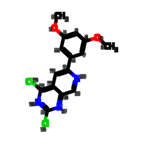 COc1cc(OC)cc(-c2cc3c(Cl)nc(Cl)nc3cn2)c1